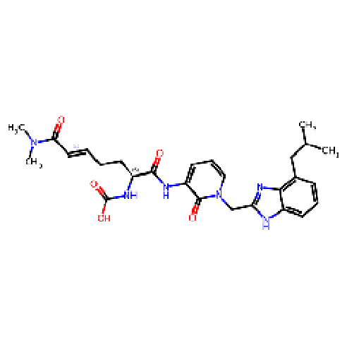 CC(C)Cc1cccc2[nH]c(Cn3cccc(NC(=O)[C@H](CC/C=C/C(=O)N(C)C)NC(=O)O)c3=O)nc12